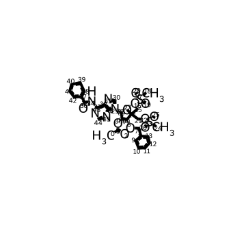 CC(=O)O[C@H]1[C@@H](OCc2ccccc2)C(COS(C)(=O)=O)(COS(C)(=O)=O)O[C@@H]1n1cnc2c(NC(=O)c3ccccc3)ncnc21